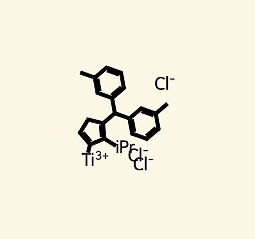 Cc1cccc(C(C2=C(C(C)C)[C]([Ti+3])=CC2)c2cccc(C)c2)c1.[Cl-].[Cl-].[Cl-]